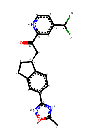 Cc1nc(-c2ccc3c(c2)CC[C@H]3CC(=O)c2cc(C(F)F)ccn2)no1